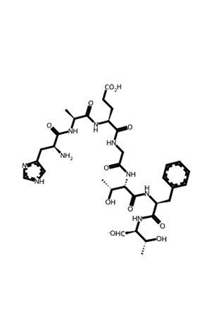 C[C@H](NC(=O)[C@@H](N)Cc1c[nH]cn1)C(=O)N[C@@H](CCC(=O)O)C(=O)NCC(=O)N[C@H](C(=O)N[C@@H](Cc1ccccc1)C(=O)N[C@H]([C]=O)[C@@H](C)O)[C@@H](C)O